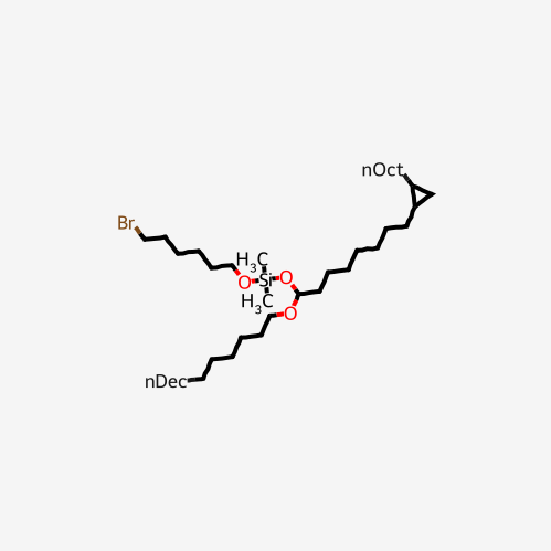 CCCCCCCCCCCCCCCCOC(CCCCCCCC1CC1CCCCCCCC)O[Si](C)(C)OCCCCCCBr